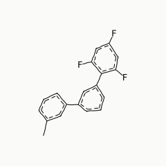 Cc1cccc(-c2cccc(-c3c(F)cc(F)cc3F)c2)c1